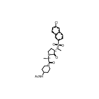 CC(=O)NC1CCN(C(=O)[C@@H](C)N2CC[C@H](N(C)S(=O)(=O)c3ccc4cc(Cl)ccc4c3)C2=O)CC1